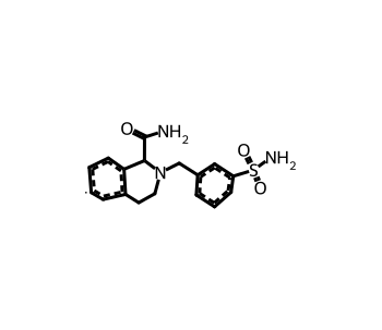 NC(=O)C1c2cc[c]cc2CCN1Cc1cccc(S(N)(=O)=O)c1